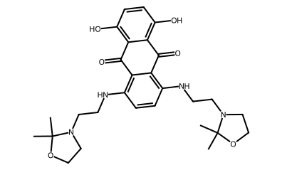 CC1(C)OCCN1CCNc1ccc(NCCN2CCOC2(C)C)c2c1C(=O)c1c(O)ccc(O)c1C2=O